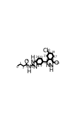 CCCC(=O)Nc1nc2cc(-c3n[nH]c(=O)c4ccc(Cl)cc34)ccc2[nH]1